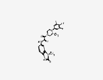 C[C@@H]1CN(C(=O)C(=O)Nc2ccc3[nH]c(=O)n(C)c3c2)CCN1c1cc(F)c(Cl)c(F)c1